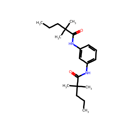 CCCC(C)(C)C(=O)Nc1cccc(NC(=O)C(C)(C)CCC)c1